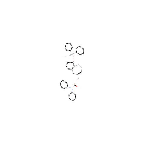 CC(C)(C)[Si](Oc1cccc2c1CCC=C(COC(=O)N(c1ccccc1)c1ccccc1)C2)(c1ccccc1)c1ccccc1